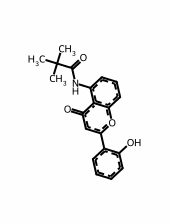 CC(C)(C)C(=O)Nc1cccc2oc(-c3ccccc3O)cc(=O)c12